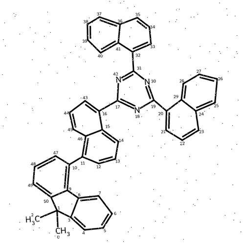 CC1(C)c2ccccc2-c2c(-c3cccc4c(-c5nc(-c6cccc7ccccc67)nc(-c6cccc7ccccc67)n5)cccc34)cccc21